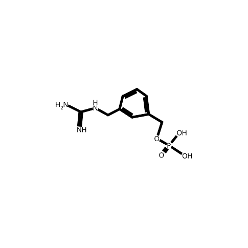 N=C(N)NCc1cccc(COP(=O)(O)O)c1